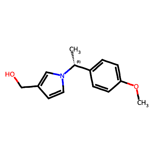 COc1ccc([C@@H](C)n2ccc(CO)c2)cc1